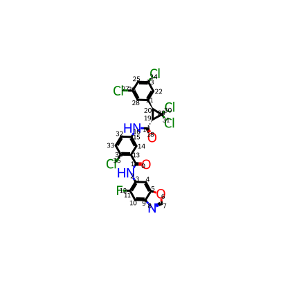 O=C(Nc1cc2ocnc2cc1F)c1cc(NC(=O)[C@@H]2[C@@H](c3cc(Cl)cc(Cl)c3)C2(Cl)Cl)ccc1Cl